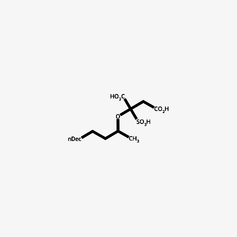 CCCCCCCCCCCCC(C)OC(CC(=O)O)(C(=O)O)S(=O)(=O)O